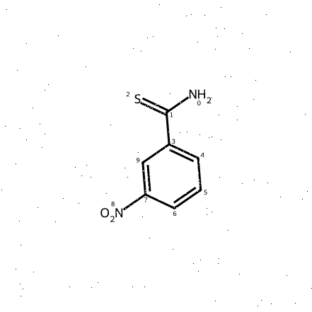 NC(=S)c1cccc([N+](=O)[O-])c1